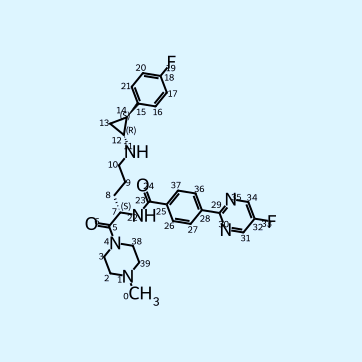 CN1CCN(C(=O)[C@H](CCCN[C@@H]2C[C@H]2c2ccc(F)cc2)NC(=O)c2ccc(-c3ncc(F)cn3)cc2)CC1